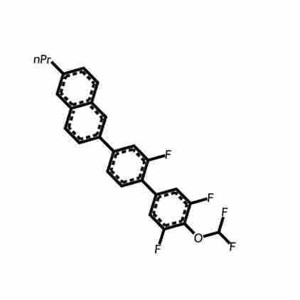 CCCc1ccc2cc(-c3ccc(-c4cc(F)c(OC(F)F)c(F)c4)c(F)c3)ccc2c1